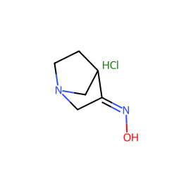 Cl.ON=C1CN2CCC1C2